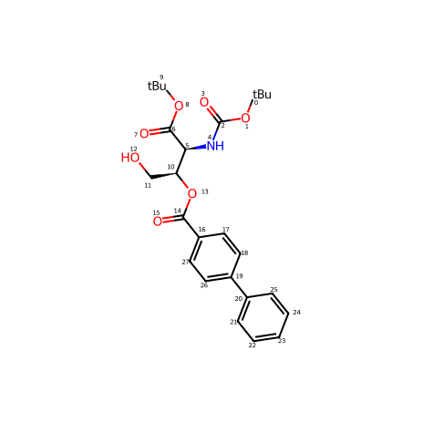 CC(C)(C)OC(=O)N[C@H](C(=O)OC(C)(C)C)[C@H](CO)OC(=O)c1ccc(-c2ccccc2)cc1